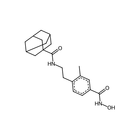 Cc1cc(C(=O)NO)ccc1CCNC(=O)C12CC3CC(CC(C3)C1)C2